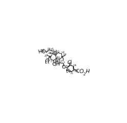 CC[C@H]1[C@@H](O)[C@H]2C(CCOc3ncc(C(=O)O)cc3Cl)C(C)(C)CC[C@@H]2[C@@]2(C)CC[C@@H](O)C[C@@H]12